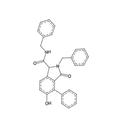 O=C(NCc1ccccc1)C1c2ccc(O)c(-c3ccccc3)c2C(=O)N1Cc1ccccc1